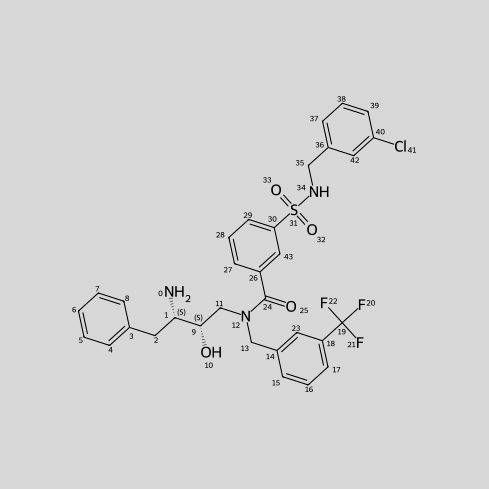 N[C@@H](Cc1ccccc1)[C@@H](O)CN(Cc1cccc(C(F)(F)F)c1)C(=O)c1cccc(S(=O)(=O)NCc2cccc(Cl)c2)c1